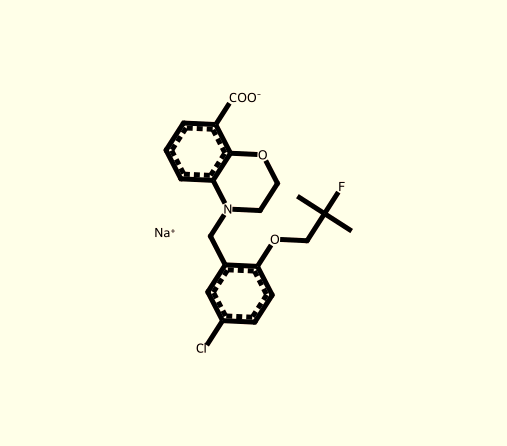 CC(C)(F)COc1ccc(Cl)cc1CN1CCOc2c(C(=O)[O-])cccc21.[Na+]